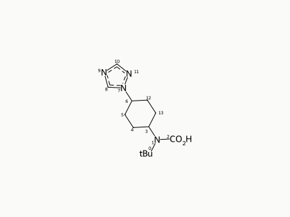 CC(C)(C)N(C(=O)O)C1CCC(n2cncn2)CC1